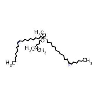 CCCCC/C=C\CCCCCCCCCCC[C@](CCCCCCCC/C=C\CCCCCCCC)(OC)OCCCN(C)C